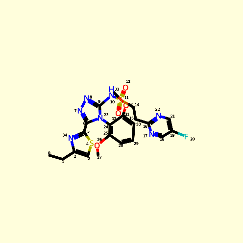 CCc1csc(-c2nnc(NS(=O)(=O)CCc3ncc(F)cn3)n2-c2c(OC)cccc2OC)n1